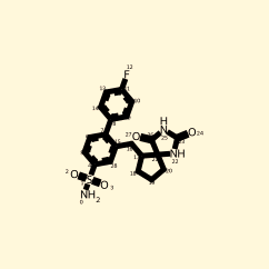 NS(=O)(=O)c1ccc(-c2ccc(F)cc2)c(CC2CCCC23NC(=O)NC3=O)c1